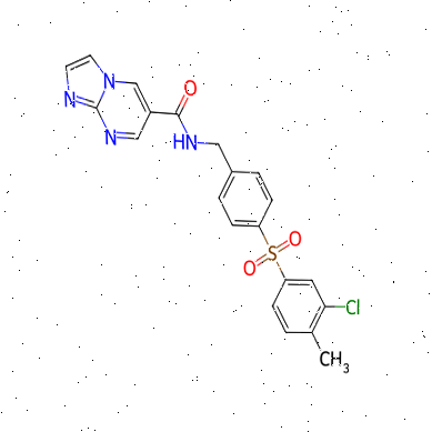 Cc1ccc(S(=O)(=O)c2ccc(CNC(=O)c3cnc4nccn4c3)cc2)cc1Cl